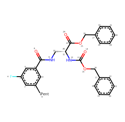 CCCC(C)c1cc(F)cc(C(=O)NC[C@@H](NC(=O)OCc2ccccc2)C(=O)OCc2ccccc2)c1